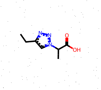 CCc1cn(C(C)C(=O)O)nn1